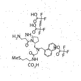 CSCC[C@H](NC(=O)CN(Cc1cccc2ccccc12)C[C@@H]1CCCN1C(=O)[C@@H](N)CN)C(=O)O.O=C(O)C(F)(F)F.O=C(O)C(F)(F)F.O=C(O)C(F)(F)F